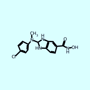 CN(c1ccc(Cl)cc1)C1Nc2ccc(C(=O)NO)cc2N1